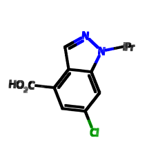 CC(C)n1ncc2c(C(=O)O)cc(Cl)cc21